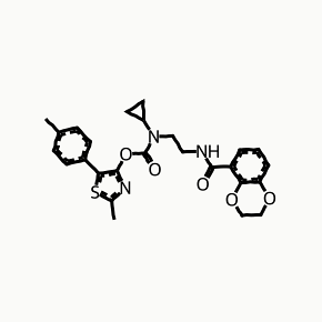 Cc1ccc(-c2sc(C)nc2OC(=O)N(CCNC(=O)c2cccc3c2OCCO3)C2CC2)cc1